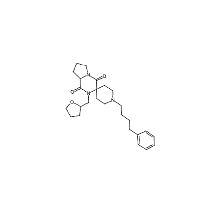 O=C1C2CCCN2C(=O)C2(CCN(CCCCc3ccccc3)CC2)N1CC1CCCO1